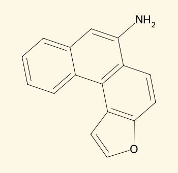 Nc1cc2ccccc2c2c1ccc1occc12